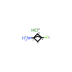 Cl.NC12CC(F)(C1)C2